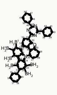 Bc1c(B)c(B)c2c(c1B)c1c(B)c(-c3ccccc3)c(B)c(B)c1n2-c1cccc2oc3c(-c4nc(-c5ccccc5)nc(-c5ccccc5)n4)cccc3c12